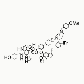 CCOc1nc2c(cc1Oc1cc(N3CCC4(CC3)CC(N3CC5CC(C[C@H]3c3ccccc3C(C)C)CN5Cc3ccc(OC)cc3)C4)ccc1C(=O)NS(=O)(=O)c1cc([NH+](C)[O-])c(NC[C@H]3CC[C@](C)(O)CC3)c3[nH]cnc13)C(F)=CC2